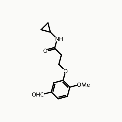 COc1ccc(C=O)cc1OCCC(=O)NC1CC1